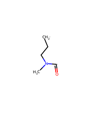 [CH2]CCN(C)[C]=O